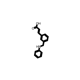 O=C(O)/C=C/c1cccc(CNc2ccccc2)c1